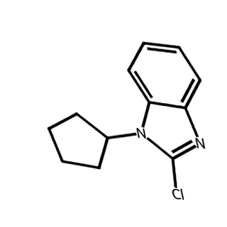 Clc1nc2ccccc2n1C1CCCC1